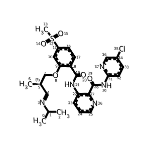 CC(C)N=C[C@@H](C)COc1cc(S(C)(=O)=O)ccc1C(=O)Nc1cccnc1C(=O)Nc1ccc(Cl)cn1